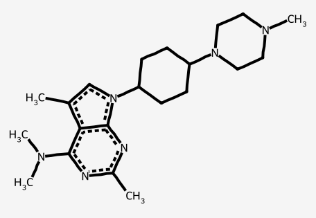 Cc1nc(N(C)C)c2c(C)cn(C3CCC(N4CCN(C)CC4)CC3)c2n1